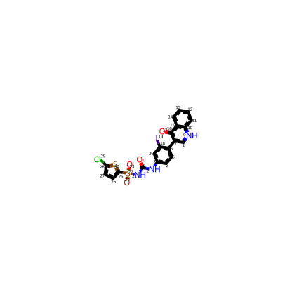 O=C(Nc1ccc(-c2c[nH]c3ccccc3c2=O)c(I)c1)NS(=O)(=O)c1ccc(Cl)s1